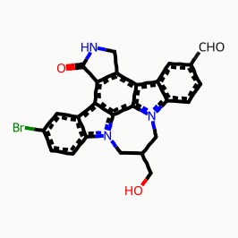 O=Cc1ccc2c(c1)c1c3c(c4c5cc(Br)ccc5n5c4c1n2CC(CO)C5)C(=O)NC3